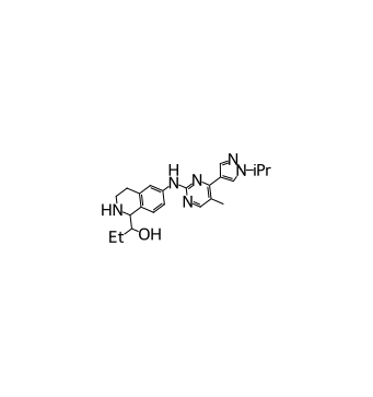 CCC(O)C1NCCc2cc(Nc3ncc(C)c(-c4cnn(C(C)C)c4)n3)ccc21